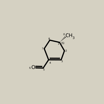 C[C@@H]1CC=C(C=O)CC1